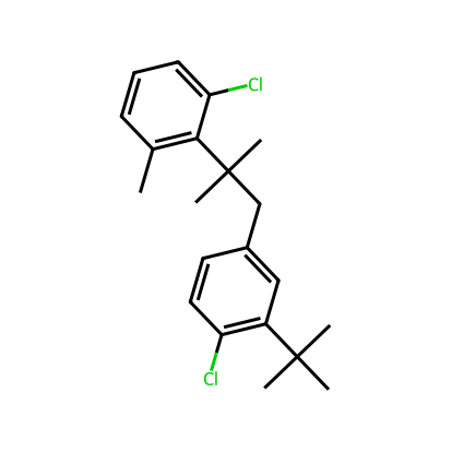 Cc1cccc(Cl)c1C(C)(C)Cc1ccc(Cl)c(C(C)(C)C)c1